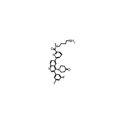 CN(CCCCN)C(=O)c1cccc(-c2ccc3ncc(-c4cc(F)cc(F)c4)c(N4CCC(=O)CC4)c3c2)n1